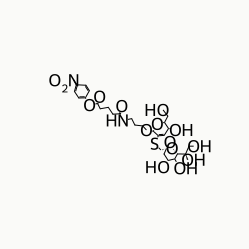 O=C(CCCC(=O)Oc1ccc([N+](=O)[O-])cc1)NCCCOC1OC(CO)C(O)C2=C1SC[C@]1(CC(O)C(O)[C@@H]([C@H](O)CO)O1)O2